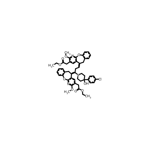 CCOC(=O)Cc1cc2c(nc1OC)Oc1ccccc1CC2=CCC(=C1Cc2ccccc2Oc2nc(OC)c(CC(=O)OCC)cc21)N1CCC(O)(c2ccc(Cl)cc2)CC1